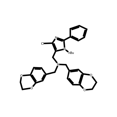 CCCCn1c(-c2ccccc2)nc(Cl)c1CN(Cc1ccc2c(c1)OCCO2)Cc1ccc2c(c1)OCCO2